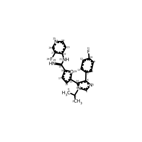 CC(C)n1cnc(-c2ccc(F)cc2)c1-c1ccc(C(=N)Nc2ccncc2F)o1